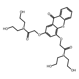 O=C(COc1cc(OCC(=O)N(CCO)CCO)c2sc3ccccc3c(=O)c2c1)N(CCO)CCO